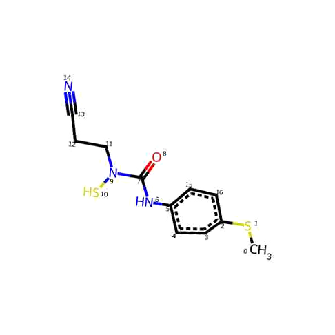 CSc1ccc(NC(=O)N(S)CCC#N)cc1